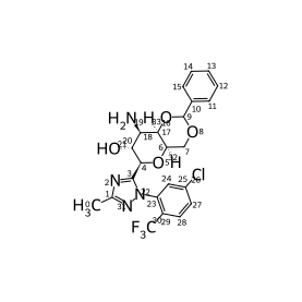 Cc1nc([C@@H]2O[C@@H]3COC(c4ccccc4)O[C@@H]3[C@H](N)[C@H]2O)n(-c2cc(Cl)ccc2C(F)(F)F)n1